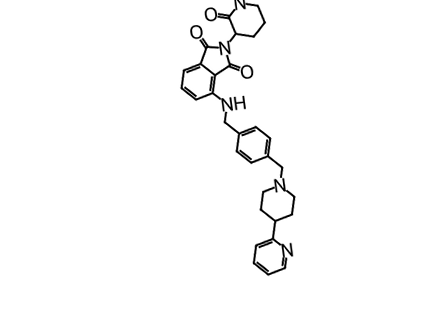 O=C1NCCCC1N1C(=O)c2cccc(NCc3ccc(CN4CCC(c5ccccn5)CC4)cc3)c2C1=O